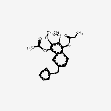 CCC(=O)Oc1c(OC)c(OC)c(OC(C)=O)c2cc(Cc3ccccc3)ccc12